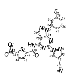 N#Cc1cnn(-c2nc(NC(=O)c3ccc([N+](=O)[O-])s3)c3cnn(-c4cccc(F)c4)c3n2)c1